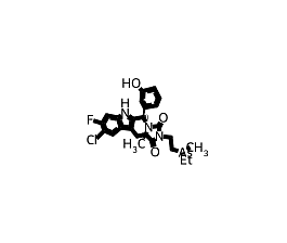 CC[As](C)CCN1C(=O)N2[C@H](c3cccc(O)c3)c3[nH]c4cc(F)c(Cl)cc4c3C[C@@]2(C)C1=O